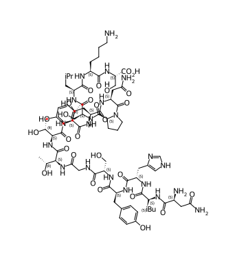 CC[C@H](C)[C@H](NC(=O)[C@@H](N)CC(N)=O)C(=O)N[C@@H](Cc1c[nH]cn1)C(=O)N[C@@H](Cc1ccc(O)cc1)C(=O)N[C@@H](CO)C(=O)NCC(=O)N[C@H](C(=O)N[C@H](C(=O)N[C@H](C(=O)N[C@@H](Cc1ccc(O)cc1)C(=O)N[C@@H](CC(N)=O)C(=O)N1CCC[C@H]1C(=O)N[C@@H](CO)C(=O)N[C@@H](CC(C)C)C(=O)N[C@@H](CCCCN)C(=O)N[C@@H](CO)C(=O)O)[C@@H](C)O)[C@@H](C)O)[C@@H](C)O